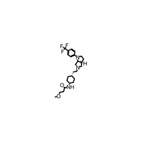 COCCC(=O)N[C@H]1CC[C@H](CCN2CC3[C@@H](CCN3c3ccc(C(F)(F)F)cc3)C2)CC1